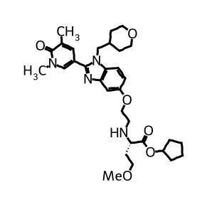 COCC[C@H](NCCOc1ccc2c(c1)nc(-c1cc(C)c(=O)n(C)c1)n2CC1CCOCC1)C(=O)OC1CCCC1